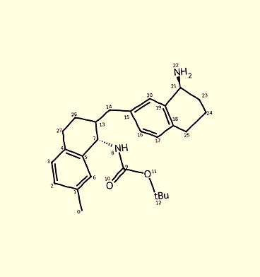 Cc1ccc2c(c1)[C@@H](NC(=O)OC(C)(C)C)C(Cc1ccc3c(c1)[C@@H](N)CCC3)CC2